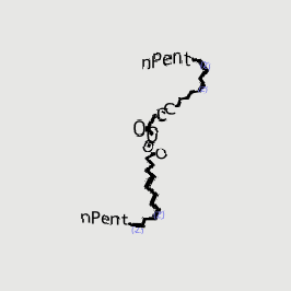 CCCCC/C=C\C/C=C\CCCCCCCC(=O)OOC(=O)CCCCCCC/C=C\C/C=C\CCCCC